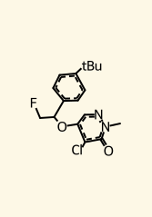 Cn1ncc(OC(CF)c2ccc(C(C)(C)C)cc2)c(Cl)c1=O